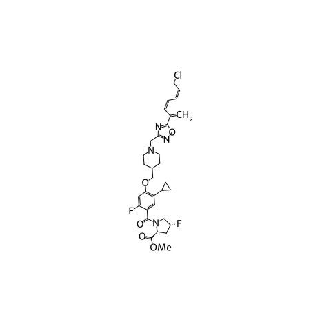 C=C(/C=C\C=C/CCl)c1nc(CN2CCC(COc3cc(F)c(C(=O)N4C[C@H](F)C[C@H]4C(=O)OC)cc3C3CC3)CC2)no1